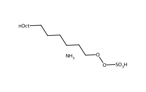 CCCCCCCCCCCCCCOOS(=O)(=O)O.N